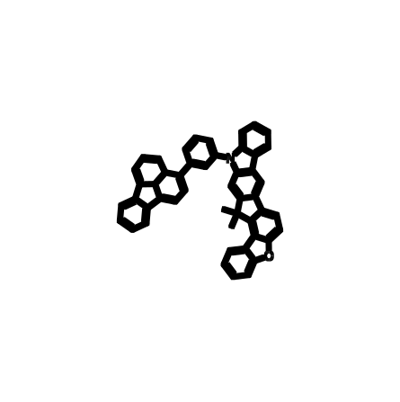 CC1(C)c2cc3c(cc2-c2ccc4oc5ccccc5c4c21)c1ccccc1n3-c1cccc(C2=CC=C3c4ccccc4C4=CC=CC2C43)c1